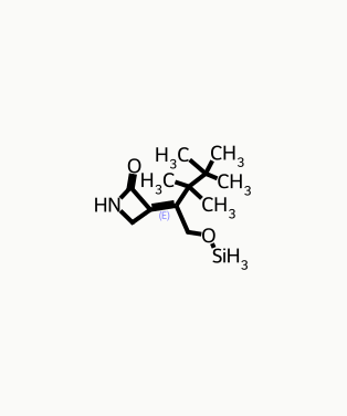 CC(C)(C)C(C)(C)/C(CO[SiH3])=C1/CNC1=O